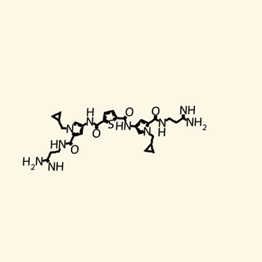 N=C(N)CCNC(=O)c1cc(NC(=O)c2ccc(C(=O)Nc3cc(C(=O)NCCC(=N)N)n(CC4CC4)c3)s2)cn1CC1CC1